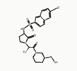 CC(C(=O)N1CCCC(CO)C1)N1CCC(NS(=O)(=O)c2ccc3cc(Cl)ccc3c2)C1=O